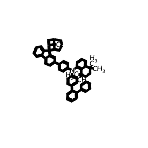 CC1(C)CCC(C)(C)c2c(N(c3ccc(-c4ccc5c(c4)C4(c6ccccc6-5)C5CC6CC7CC4C75C6)cc3)c3ccc(-c4ccccc4-c4ccccc4)cc3)cccc21